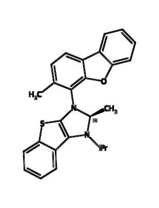 Cc1ccc2c(oc3ccccc32)c1N1c2sc3ccccc3c2N(C(C)C)[C@@H]1C